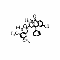 CN(Cc1cc(C(F)(F)F)cc(C(F)(F)F)c1)C(=O)Cc1c(-c2ccccc2)c2cc(Cl)ccc2c(=O)n1C